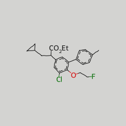 CCOC(=O)C(CC1CC1)c1cc(Cl)c(OCCF)c(-c2ccc(C)cc2)c1